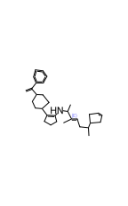 C=C(c1ccccc1)C1CCC(C2=C(NC(C)/C(C)=C/CC(C)C3CC=CC3)CCC2)CC1